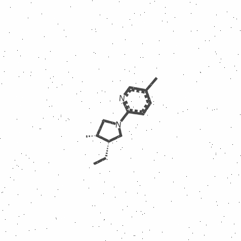 CC[C@H]1CN(c2ccc(C)cn2)C[C@H]1C